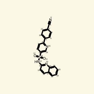 N#Cc1ccc(-c2ccc(S(=O)(=O)Nc3ccc4ccccc4n3)cn2)cc1